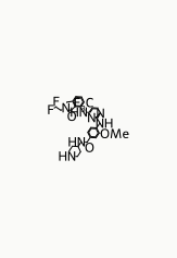 COc1cc(C(=O)NC2CCNCC2)ccc1Nc1ncc(C(F)(F)F)c(Nc2cccc3c2C(=O)N(CC(F)F)C3)n1